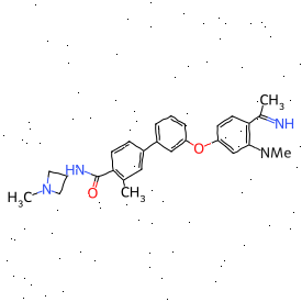 CNc1cc(Oc2cccc(-c3ccc(C(=O)NC4CN(C)C4)c(C)c3)c2)ccc1C(C)=N